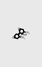 CC1CC2OC2CC1=C1C2OC2CC(C)C1(C)O